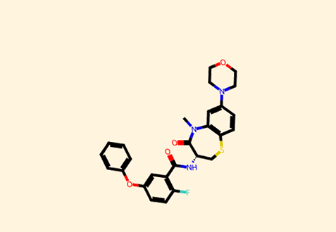 CN1C(=O)[C@@H](NC(=O)c2cc(Oc3ccccc3)ccc2F)CSc2ccc(N3CCOCC3)cc21